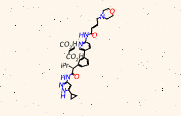 CC(C)[C@H](C(=O)Nc1cc(C2CC2)[nH]n1)c1cccc(-c2ccc(NC(=O)/C=C/CN3CCOCC3)nc2)c1.O=C(O)/C=C/C(=O)O